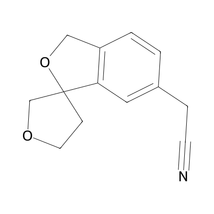 N#CCc1ccc2c(c1)C1(CCOC1)OC2